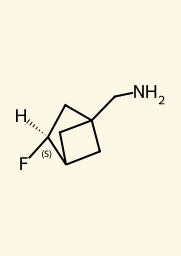 NCC12CC(C1)[C@@H](F)C2